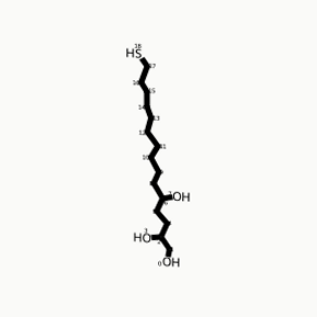 OCC(O)CCC(O)CCCCCCCCCCS